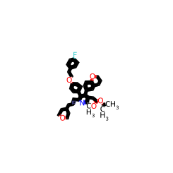 Cc1nc(/C=C/CC2CCOCC2)c(-c2ccc(OCCc3ccc(F)cc3)cc2)c(-c2ccc3c(c2)CCCO3)c1CC(=O)OC(C)C